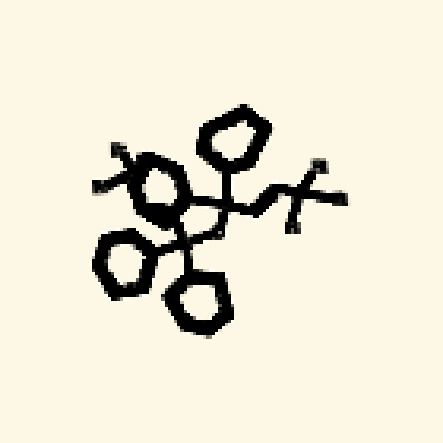 CC[Si](/C=C/[Si](O[Si](/C=C/[Si](CC)(CC)CC)(c1ccccc1)c1ccccc1)(c1ccccc1)c1ccccc1)(CC)CC